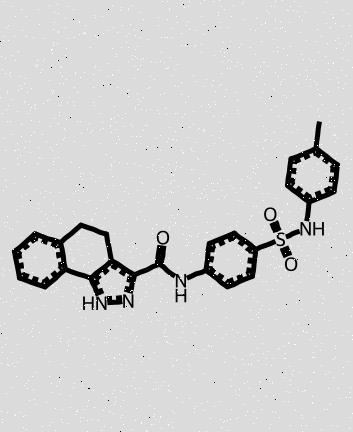 Cc1ccc(NS(=O)(=O)c2ccc(NC(=O)c3n[nH]c4c3CCc3ccccc3-4)cc2)cc1